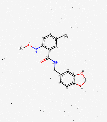 CC(C)(C)ONc1ccc([N+](=O)[O-])cc1C(=O)NCc1ccc2c(c1)OCO2